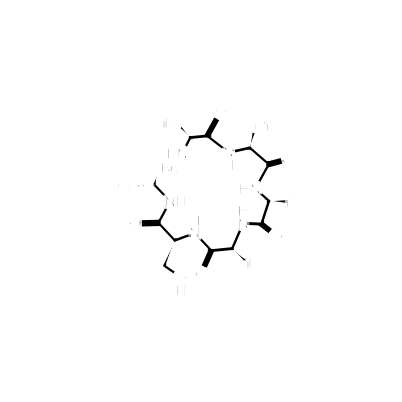 CC[C@H](C)[C@H](NC(=O)[C@H](CO)NC(=O)[C@@H](NC(=O)[C@@H](NC(=O)[C@@H](NC(=O)[C@@H](N)C(C)C)C(C)C)C(C)C)C(C)C)C(=O)O